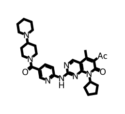 CC(=O)c1c(C)c2cnc(Nc3ccc(C(=O)N4CCC(N5CCCCC5)CC4)cn3)nc2n(C2CCCC2)c1=O